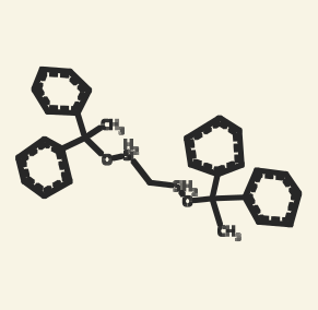 CC(O[SiH2]C[SiH2]OC(C)(c1ccccc1)c1ccccc1)(c1ccccc1)c1ccccc1